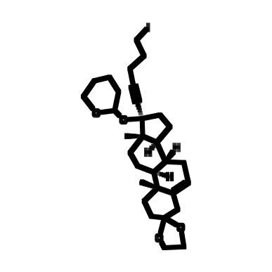 C[C@]12CCC3(CC1=CC[C@@H]1[C@@H]2CC[C@@]2(C)[C@H]1CC[C@]2(C#CCCCI)OC1CCCCO1)OCCO3